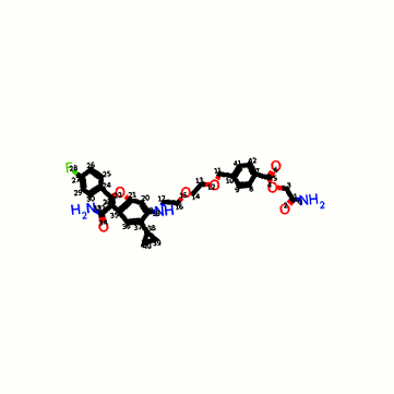 NC(=O)COC(=O)c1ccc(COCCOCCNc2cc3oc(-c4ccc(F)cc4)c(C(N)=O)c3cc2C2CC2)cc1